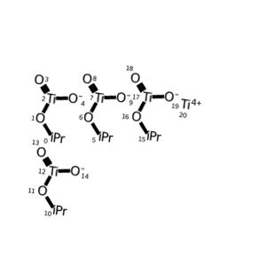 CC(C)[O][Ti](=[O])[O-].CC(C)[O][Ti](=[O])[O-].CC(C)[O][Ti](=[O])[O-].CC(C)[O][Ti](=[O])[O-].[Ti+4]